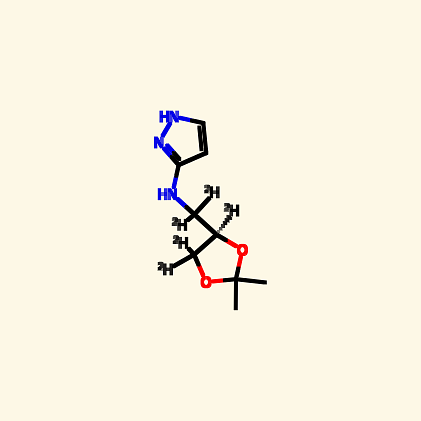 [2H]C([2H])(Nc1cc[nH]n1)[C@@]1([2H])OC(C)(C)OC1([2H])[2H]